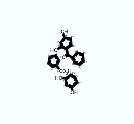 O=C(O)c1ccccc1.O=C(c1ccccc1)c1ccc(O)cc1O.Oc1cccc(O)c1